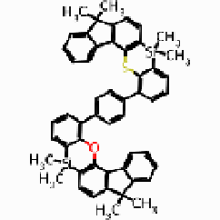 CC1(C)c2ccccc2-c2c1ccc1c2Oc2c(-c3ccc(-c4cccc5c4Sc4c(ccc6c4-c4ccccc4C6(C)C)[Si]5(C)C)cc3)cccc2[Si]1(C)C